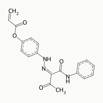 C=CC(=O)Oc1ccc(N/N=C(/C(C)=O)C(=O)Nc2ccccc2)cc1